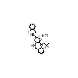 CC(C)(C)CN1C(=O)C(CC(=O)NCc2ccccc2F)NCc2ccccc21.Cl